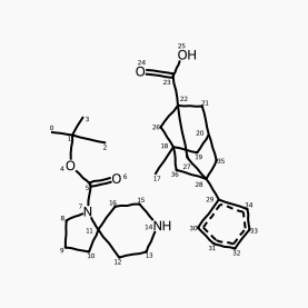 CC(C)(C)OC(=O)N1CCCC12CCNCC2.CC12CC3CC(C(=O)O)(C1)CC(c1ccccc1)(C3)C2